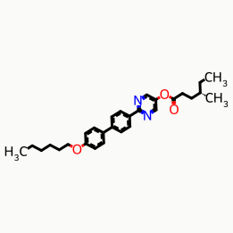 CCCCCCOc1ccc(-c2ccc(-c3ncc(OC(=O)CC[C@@H](C)CC)cn3)cc2)cc1